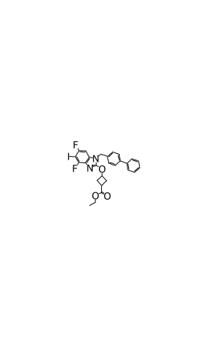 CCOC(=O)C1CC(Oc2nc3c(F)c(I)c(F)cc3n2Cc2ccc(-c3ccccc3)cc2)C1